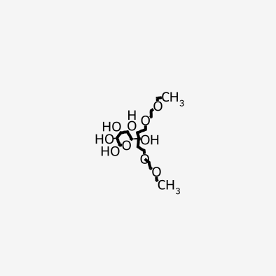 CCOCCOCCC(O)(CCOCCOCC)[C@H]1OC(O)[C@H](O)[C@@H](O)[C@H]1O